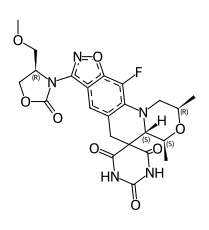 COC[C@@H]1COC(=O)N1c1noc2c(F)c3c(cc12)CC1(C(=O)NC(=O)NC1=O)[C@H]1[C@H](C)O[C@H](C)CN31